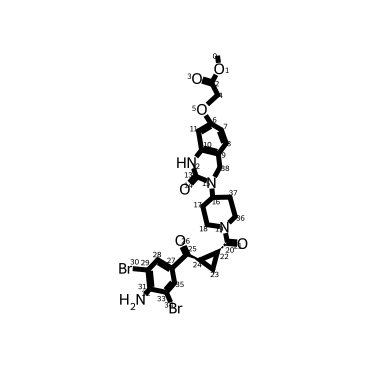 COC(=O)COc1ccc2c(c1)NC(=O)N(C1CCN(C(=O)[C@@H]3C[C@H]3C(=O)c3cc(Br)c(N)c(Br)c3)CC1)C2